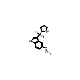 [2H]C([2H])(c1c[nH]c2ccc(OC)cc12)[C@H]1CCCN1